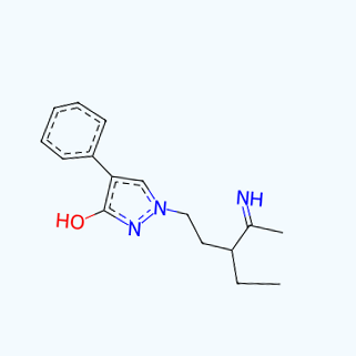 CCC(CCn1cc(-c2ccccc2)c(O)n1)C(C)=N